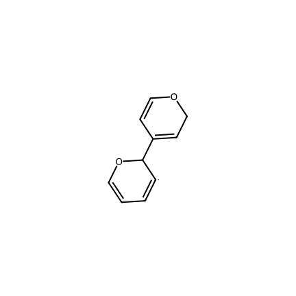 [C]1=CC=COC1C1=CCOC=C1